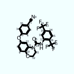 N#Cc1ccc(Oc2ccc3c(c2)N(C(=O)Nc2cc(C(F)(F)F)ccc2C(F)(F)F)CCO3)cc1